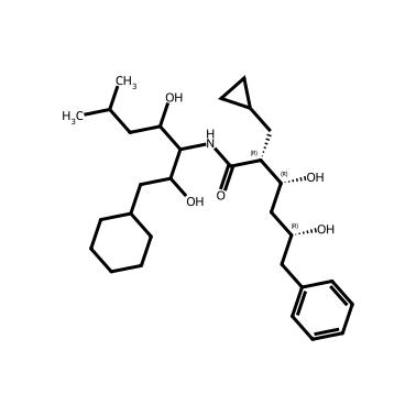 CC(C)CC(O)C(NC(=O)[C@H](CC1CC1)[C@H](O)C[C@H](O)Cc1ccccc1)C(O)CC1CCCCC1